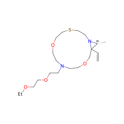 C=CC12COCCN(CCOCCOCC)CCOCCSCCN1[C@@H]2C